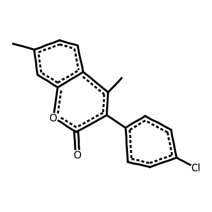 Cc1ccc2c(C)c(-c3ccc(Cl)cc3)c(=O)oc2c1